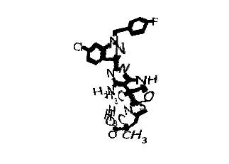 CC(C)(Cc1csc(C2(C)C(=O)Nc3nc(-c4nn(Cc5ccc(F)cc5)c5cc(Cl)ccc45)nc(N)c32)n1)C(=O)O